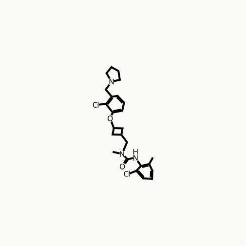 Cc1cccc(Cl)c1NC(=O)N(C)CC1CC(Oc2cccc(CN3CCCC3)c2Cl)C1